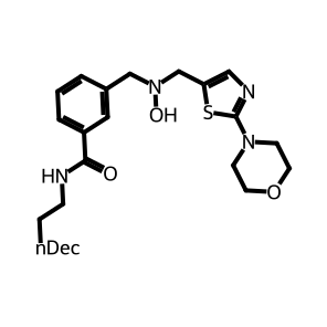 CCCCCCCCCCCCNC(=O)c1cccc(CN(O)Cc2cnc(N3CCOCC3)s2)c1